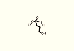 CCOP(=O)(CC=CO)OCC